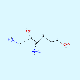 NCC(O)C(N)CCCO